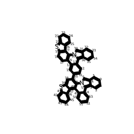 c1ccc2c(c1)cn1c3c(-c4ccc5c(c4)c4ccc6sc7ccccc7c6c4n4cc6ccccc6c54)cc4sc5ccccc5c4c3c3ccccc3c21